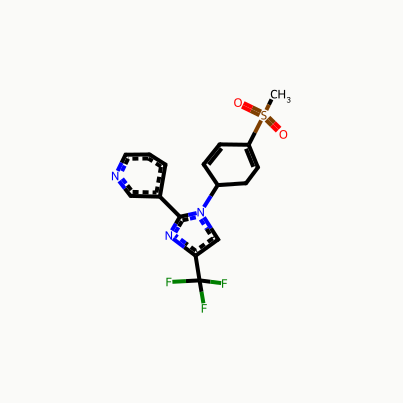 CS(=O)(=O)C1=CCC(n2cc(C(F)(F)F)nc2-c2cccnc2)C=C1